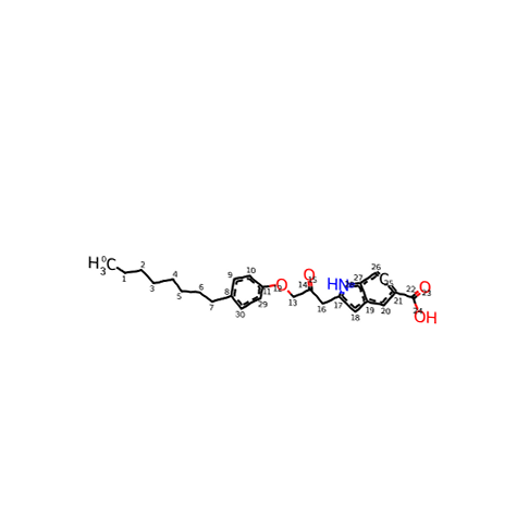 CCCCCCCCc1ccc(OCC(=O)Cc2cc3cc(C(=O)O)ccc3[nH]2)cc1